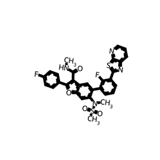 CNC(=O)c1c(-c2ccc(F)cc2)oc2cc(N(C)S(C)(=O)=O)c(-c3cccc(-c4nc5cccnc5s4)c3F)cc12